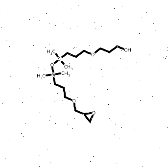 C[Si](C)(CCCOCCCO)O[Si](C)(C)CCCOCC1CO1